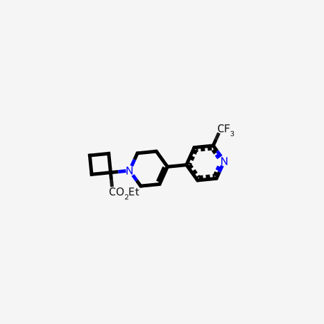 CCOC(=O)C1(N2CC=C(c3ccnc(C(F)(F)F)c3)CC2)CCC1